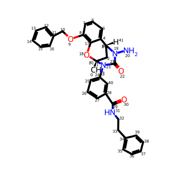 C[C@]12C[C@H](c3cccc(OCc4ccccc4)c3O1)N(N)C(=O)N2c1cccc(C(=O)NCCc2ccccc2)c1